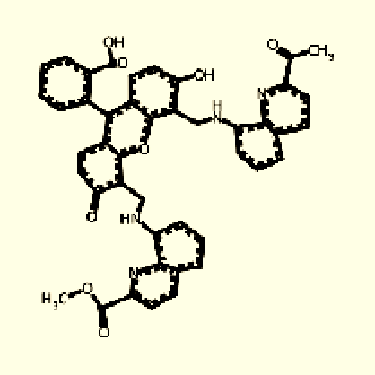 COC(=O)c1ccc2cccc(NCc3c4oc5c(CNc6cccc7ccc(C(C)=O)nc67)c(O)ccc5c(-c5ccccc5C(=O)O)c-4ccc3=O)c2n1